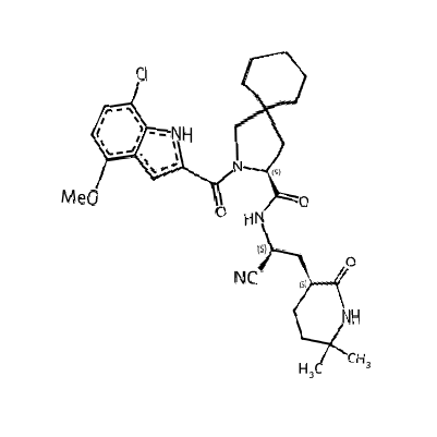 COc1ccc(Cl)c2[nH]c(C(=O)N3CC4(CCCCC4)C[C@H]3C(=O)N[C@H](C#N)C[C@@H]3CCC(C)(C)NC3=O)cc12